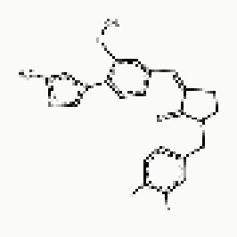 COc1cc(C=C2CCN(Cc3ccc(F)c(F)c3)C2=O)ccc1-n1cnc(C)c1